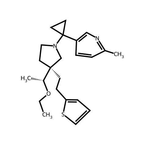 CCO[C@H](C)[C@@]1(CCc2cccs2)CCN(C2(c3ccc(C)nc3)CC2)C1